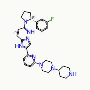 N=C(/C=C\c1ncc(-c2cccc(N3CCN(C4CCNCC4)CC3)n2)[nH]1)N1CCC[C@@H]1c1cccc(F)c1